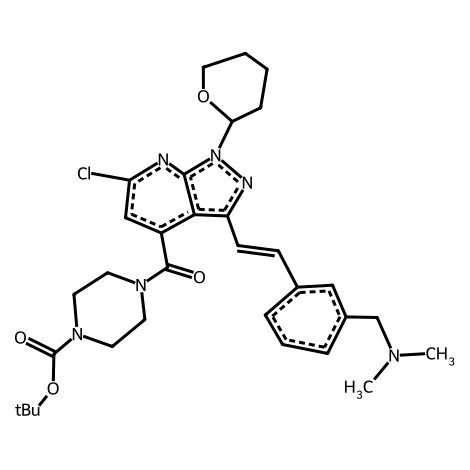 CN(C)Cc1cccc(C=Cc2nn(C3CCCCO3)c3nc(Cl)cc(C(=O)N4CCN(C(=O)OC(C)(C)C)CC4)c23)c1